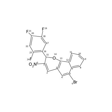 O=[N+]([O-])C1=Cc2cc(Br)c3ccccc3c2OC1c1cc(F)c(F)cc1F